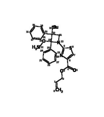 C=CCOC(=O)c1csc(N2CC(c3ccccc3)(C(C)(C)C)C2(O[SiH3])c2ccccc2)n1